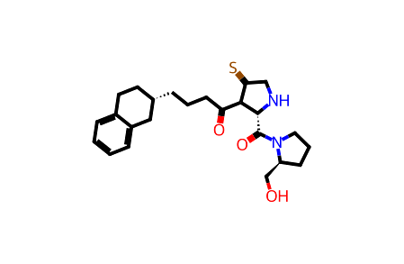 O=C(CCC[C@H]1CCc2ccccc2C1)C1C(=S)CN[C@@H]1C(=O)N1CCC[C@H]1CO